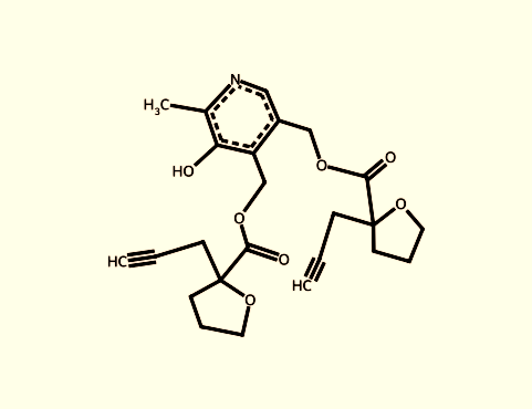 C#CCC1(C(=O)OCc2cnc(C)c(O)c2COC(=O)C2(CC#C)CCCO2)CCCO1